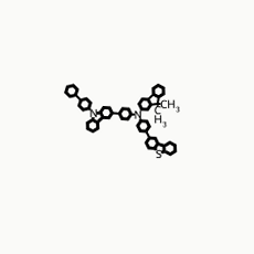 CC1(C)c2ccccc2-c2ccc(N(c3ccc(-c4ccc5sc6ccccc6c5c4)cc3)c3ccc(-c4ccc5c(c4)c4ccccc4n5-c4ccc(-c5ccccc5)cc4)cc3)cc21